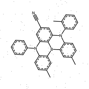 Cc1ccc2c(c1)B1c3cc(C)ccc3N(c3ccccc3C)c3cc(C#N)cc(c31)N2c1ccccc1